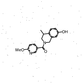 COc1ccc(C(=O)N2Cc3cc(O)ccc3C(C)C2)cn1